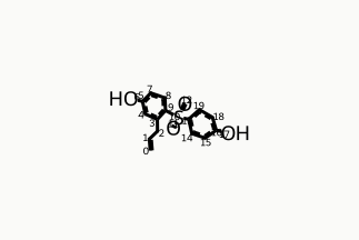 C=CCc1cc(O)ccc1S(=O)(=O)c1ccc(O)cc1